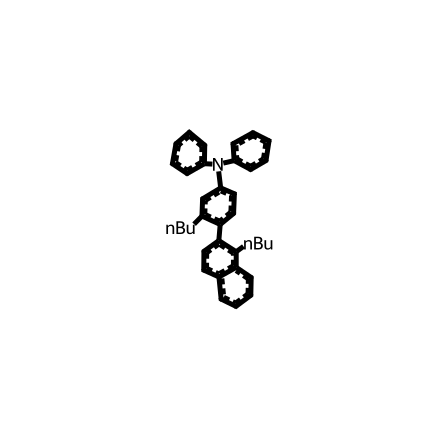 CCCCc1cc(N(c2ccccc2)c2ccccc2)ccc1-c1ccc2ccccc2c1CCCC